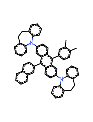 Cc1ccc(-c2c3ccc(N4c5ccccc5CCc5ccccc54)cc3c(-c3ccc4ccccc4c3)c3ccc(N4c5ccccc5CCc5ccccc54)cc23)cc1C